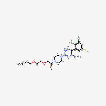 CNc1nc(N2CCN(C(=O)COCCOCCOC)CC2)nnc1-c1cc(F)cc(Cl)c1Cl